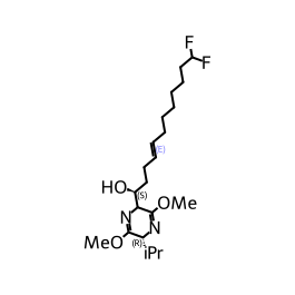 COC1=N[C@H](C(C)C)C(OC)=NC1[C@@H](O)CC/C=C/CCCCCCC(F)F